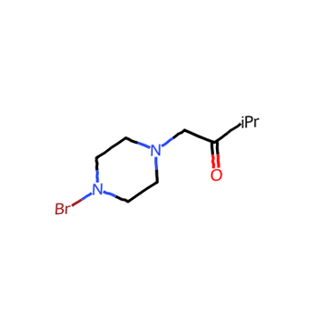 CC(C)C(=O)CN1CCN(Br)CC1